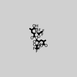 CC(CC(NC(=O)C(F)(F)F)C(=O)OC(=O)C(CC(C)C(=O)O)NC(=O)C(F)(F)F)C(=O)O